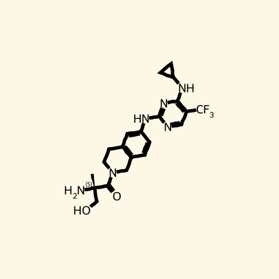 C[C@](N)(CO)C(=O)N1CCc2cc(Nc3ncc(C(F)(F)F)c(NC4CC4)n3)ccc2C1